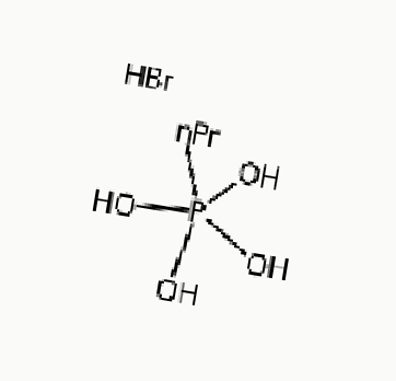 Br.CCCP(O)(O)(O)O